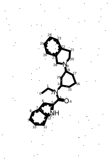 CCN(C(=O)c1cc2ccccc2[nH]1)C1CCCC(N2CCc3ccccc3C2)C1